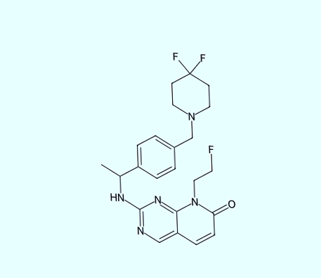 CC(Nc1ncc2ccc(=O)n(CCF)c2n1)c1ccc(CN2CCC(F)(F)CC2)cc1